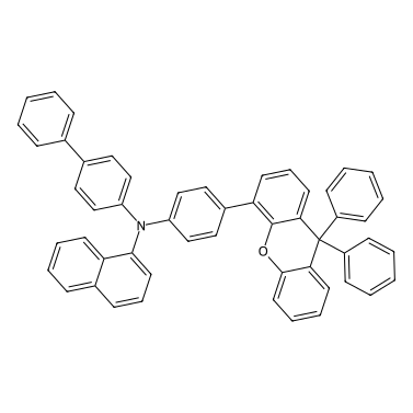 c1ccc(-c2ccc(N(c3ccc(-c4cccc5c4Oc4ccccc4C5(c4ccccc4)c4ccccc4)cc3)c3cccc4ccccc34)cc2)cc1